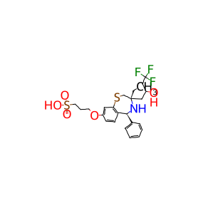 CC[C@]1(CC(O)CC(F)(F)F)CSc2cc(OCCCS(=O)(=O)O)ccc2[C@H](c2ccccc2)N1